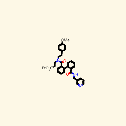 CCOC(=O)CCN(CCc1ccc(OC)cc1)C(=O)c1ccccc1-c1ccccc1C(=O)NCc1cccnc1